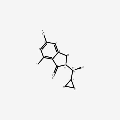 Cc1cc(Cl)cc2c1C(=O)N([C@@H](C)C1CC1)C2